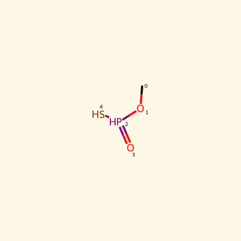 CO[PH](=O)S